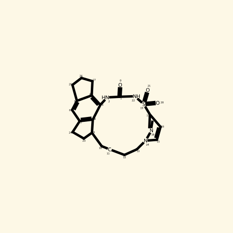 O=C1Nc2c3c(cc4c2C(CCCCn2ccc(n2)S(=O)(=O)N1)CC4)CCC3